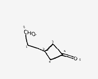 O=[C]CC1CC(=O)C1